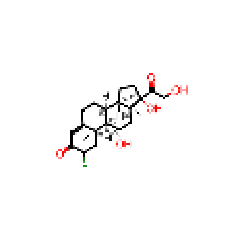 C[C@]12CC(F)C(=O)C=C1CC[C@@H]1[C@@H]2[C@@H](O)C[C@@]2(C)[C@H]1CC[C@]2(O)C(=O)CO